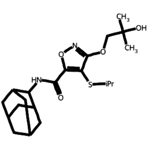 CC(C)Sc1c(OCC(C)(C)O)noc1C(=O)NC1C2CC3CC(C2)CC1C3